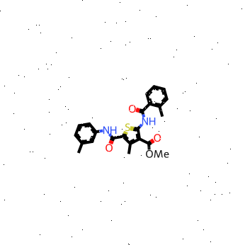 COC(=O)c1c(NC(=O)c2ccccc2C)sc(C(=O)Nc2cccc(C)c2)c1C